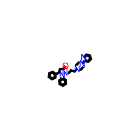 O=C1CC(c2ccccc2)N(c2ccccc2)N1CCCN1CCN(c2ccccn2)CC1